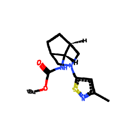 Cc1cc(N2CC3CC[C@@H](C2)[C@@H]3NC(=O)OC(C)(C)C)sn1